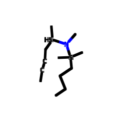 CCCC[SiH](C)N(C)[Si](C)(C)CCCC